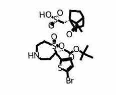 CC(C)(C)OC(=O)C[C@]1(c2ccc(Br)s2)CCNCCS1(=O)=O.CC1(C)C2CC[C@]1(CS(=O)(=O)O)C(=O)C2